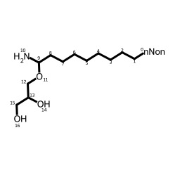 CCCCCCCCCCCCCCCCCC(N)OCC(O)CO